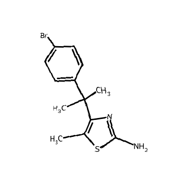 Cc1sc(N)nc1C(C)(C)c1ccc(Br)cc1